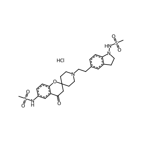 CS(=O)(=O)Nc1ccc2c(c1)C(=O)CC1(CCN(CCc3ccc4c(c3)CCN4NS(C)(=O)=O)CC1)O2.Cl